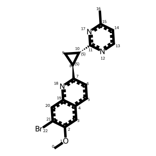 COc1cc2ccc([C@H]3C[C@@H]3c3nccc(C)n3)nc2cc1Br